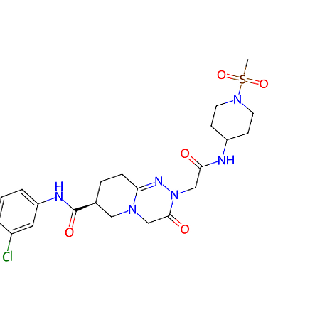 CS(=O)(=O)N1CCC(NC(=O)CN2N=C3CC[C@H](C(=O)Nc4cccc(Cl)c4)CN3CC2=O)CC1